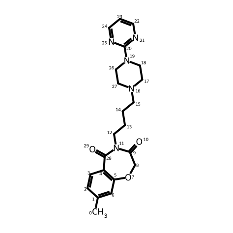 Cc1ccc2c(c1)OCC(=O)N(CCCCN1CCN(c3ncccn3)CC1)C2=O